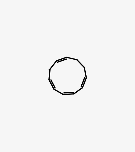 [CH]1C=CC=CC=CCCC=C1